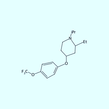 CCC1CC(Oc2ccc(OC(F)(F)F)cc2)CCN1C(C)C